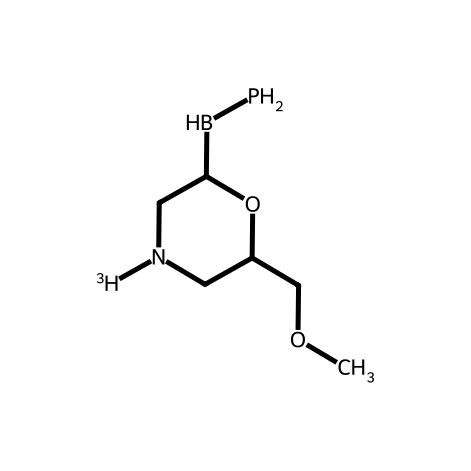 [3H]N1CC(BP)OC(COC)C1